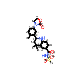 Cc1ccc(N2CCOC2=O)cc1C1CC(C)(C)c2cc(C(=O)NS(C)(=O)=O)ccc2N1